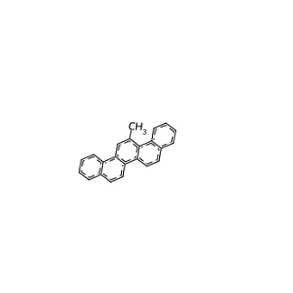 Cc1cc2c3ccccc3ccc2c2ccc3ccccc3c12